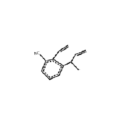 [CH2]C(C=C)c1cccc(C#N)c1C=C